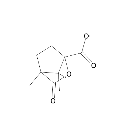 CC12CCC(C([O])=O)(OC1=O)C2(C)C